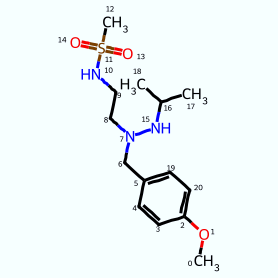 COc1ccc(CN(CCNS(C)(=O)=O)NC(C)C)cc1